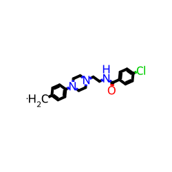 [CH2]c1ccc(N2CCN(CCNC(=O)c3ccc(Cl)cc3)CC2)cc1